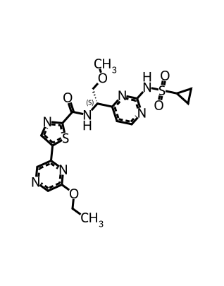 CCOc1cncc(-c2cnc(C(=O)N[C@H](COC)c3ccnc(NS(=O)(=O)C4CC4)n3)s2)n1